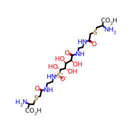 NC(CSCC(=O)NCCNC(=O)[C@@H](O)[C@H](O)[C@H](O)[C@@H](O)[S+]([O-])NCCNC(=O)CSCC(N)C(=O)O)C(=O)O